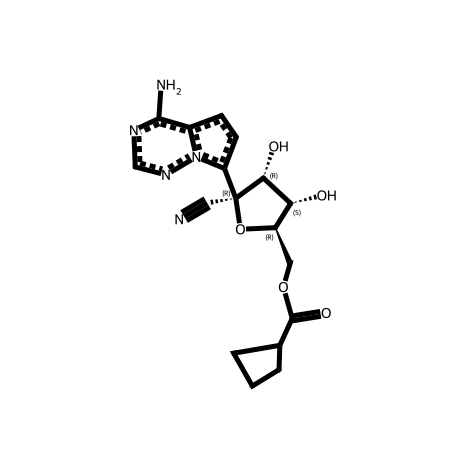 N#C[C@@]1(c2ccc3c(N)ncnn23)O[C@H](COC(=O)C2CCC2)[C@@H](O)[C@H]1O